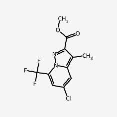 COC(=O)c1nn2c(C(F)(F)F)cc(Cl)cc2c1C